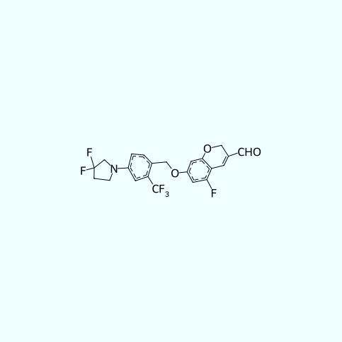 O=CC1=Cc2c(F)cc(OCc3ccc(N4CCC(F)(F)C4)cc3C(F)(F)F)cc2OC1